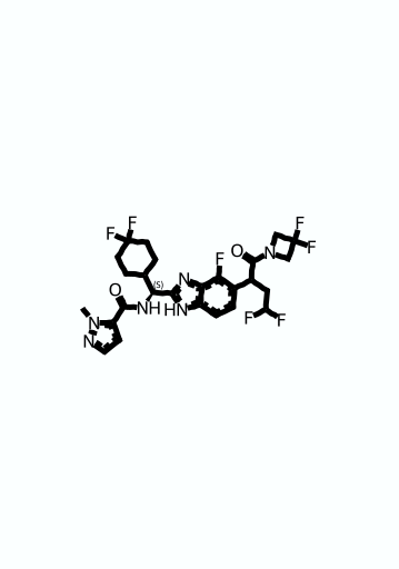 Cn1nccc1C(=O)N[C@H](c1nc2c(F)c(C(CC(F)F)C(=O)N3CC(F)(F)C3)ccc2[nH]1)C1CCC(F)(F)CC1